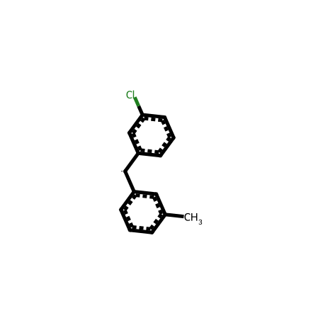 Cc1cccc([CH]c2cccc(Cl)c2)c1